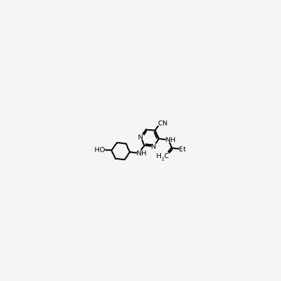 C=C(CC)Nc1nc(NC2CCC(O)CC2)ncc1C#N